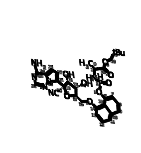 C[C@H](N[PH](=O)Oc1cccc2cccc(OC[C@H]3O[C@@](C#N)(c4ccc5c(N)ncnn45)[C@H](O)[C@@H]3O)c12)C(=O)OCC(C)(C)C